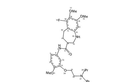 COc1ccc(NC(=O)C2CCc3c(cc(OC)c(OC)c3F)NC2)cc1OCCN(C(C)C)C(C)C